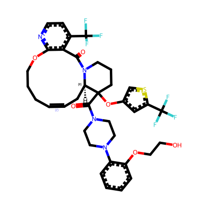 O=C1c2c(C(F)(F)F)ccnc2OCCC/C=C\C[C@H]2N1CCCC2(Oc1csc(C(F)(F)F)c1)C(=O)N1CCN(c2ccccc2OCCO)CC1